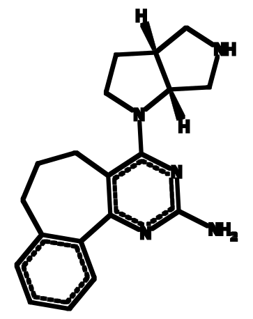 Nc1nc2c(c(N3CC[C@@H]4CNC[C@@H]43)n1)CCCc1ccccc1-2